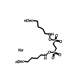 CCCCCCCCCCCCCCNOS(=O)(=O)CCS(=O)(=O)ONCCCCCCCCCCCCCC.[Na]